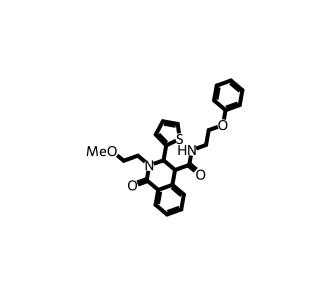 COCCN1C(=O)c2ccccc2C(C(=O)NCCOc2ccccc2)C1c1cccs1